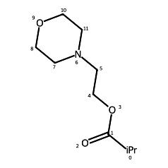 CC(C)C(=O)OCCN1CCOCC1